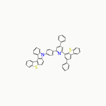 c1ccc(-c2cc(-c3ccc(-n4c5ccccc5c5c6c(ccc54)sc4ccccc46)cc3)nc(-c3cc(-c4ccccc4)cc4c3sc3ccccc34)c2)cc1